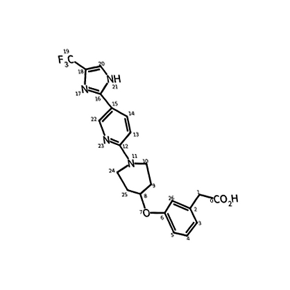 O=C(O)Cc1cccc(OC2CCN(c3ccc(-c4nc(C(F)(F)F)c[nH]4)cn3)CC2)c1